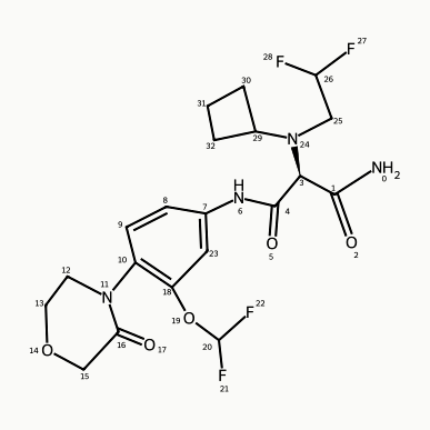 NC(=O)[C@@H](C(=O)Nc1ccc(N2CCOCC2=O)c(OC(F)F)c1)N(CC(F)F)C1CCC1